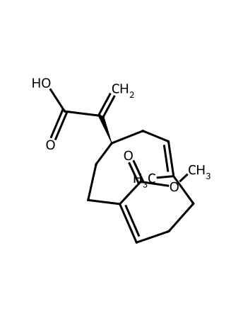 C=C(C(=O)O)[C@H]1C/C=C(\C)CC/C=C(\C(=O)OC)CC1